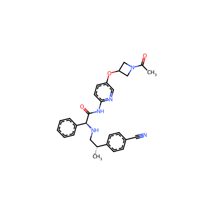 CC(=O)N1CC(Oc2ccc(NC(=O)[C@@H](NC[C@@H](C)c3ccc(C#N)cc3)c3ccccc3)nc2)C1